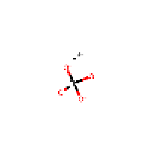 [O-][Ti]([O-])([O-])[O-].[U+4]